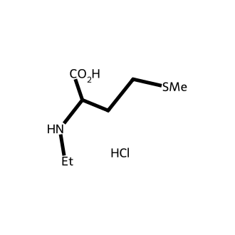 CCNC(CCSC)C(=O)O.Cl